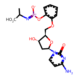 CC(/N=[P+](\[O-])Oc1ccccc1OC[C@H]1O[C@@H](n2ccc(N)nc2=O)C[C@@H]1O)C(=O)O